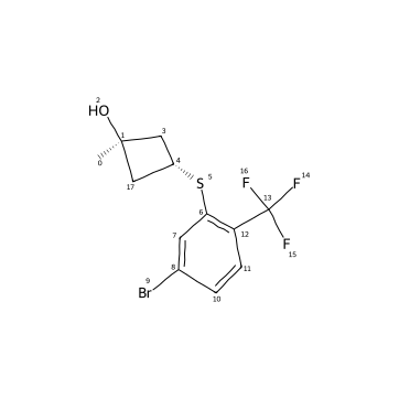 C[C@]1(O)C[C@H](Sc2cc(Br)ccc2C(F)(F)F)C1